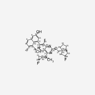 C#Cc1c(F)ccc2cc(O)cc(-c3ncc4c(N(C)[C@@H]5C[C@H]5F)nc(OC[C@@]56CCCN5C[C@H](F)C6)nc4c3F)c12